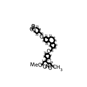 COC(=O)CC(c1ccc(OCc2ccc3c(c2)-c2ccc(OCC4CCS(=O)(=O)CC4)cc2CCC3)cc1)c1cc(C)on1